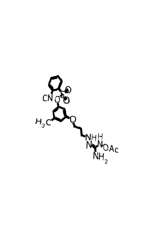 CC(=O)ONC(N)=NNCCCOc1cc(C)cc(OS(=O)(=O)c2ccccc2C#N)c1